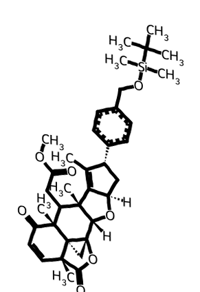 COC(=O)CC1[C@]2(C)C3=C(C)[C@H](c4ccc(CO[Si](C)(C)C(C)(C)C)cc4)C[C@H]3O[C@@H]2[C@@]23C[C@@]24[C@@](C)(C=CC(=O)[C@]14C)C(=O)O3